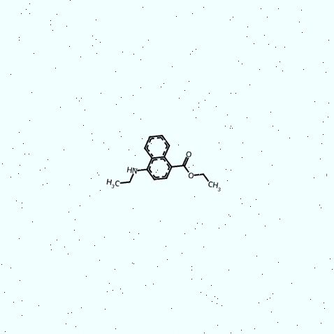 CCNc1ccc(C(=O)OCC)c2ccccc12